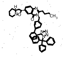 CCCCc1nc2ccc([C@@H]3C[C@H]4CCCCN4O3)cc2c(=O)n1Cc1ccc(-c2ccccc2-c2nnnn2C(c2ccccc2)(c2ccccc2)c2ccccc2)cc1